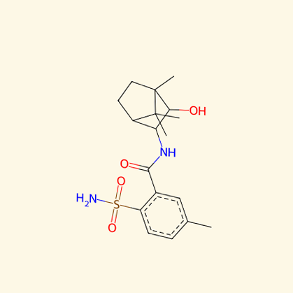 Cc1ccc(S(N)(=O)=O)c(C(=O)NC2C3CCC(C)(C2O)C3(C)C)c1